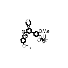 CCNC(=O)Nc1ccc(-c2cc(N3CCOCC3)cc(S(=O)(=O)Cc3ccc(C)cc3)c2)cc1OC